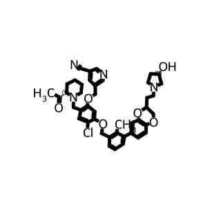 CC(=O)[C@@H]1CCCCN1Cc1cc(Cl)c(OCc2cccc(-c3ccc4c(c3)OC(CCN3CC[C@H](O)C3)CO4)c2C)cc1OCc1cncc(C#N)c1